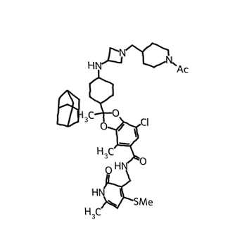 C1C2CC3CC1CC(C2)C3.CSc1cc(C)[nH]c(=O)c1CNC(=O)c1cc(Cl)c2c(c1C)OC(C)(C1CCC(NC3CN(CC4CCN(C(C)=O)CC4)C3)CC1)O2